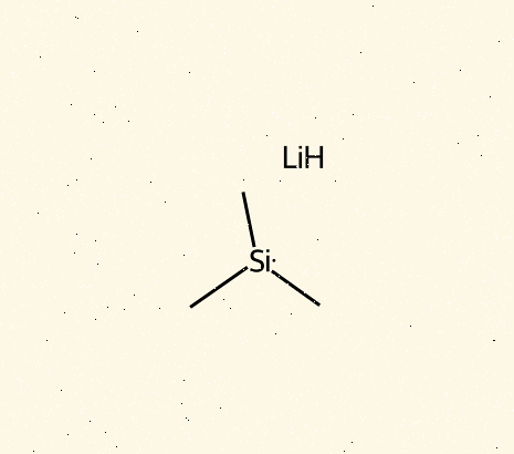 C[Si](C)C.[LiH]